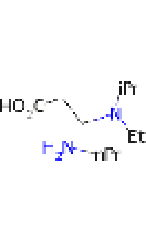 CCCN.CCN(CCC(=O)O)C(C)C